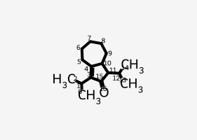 CC(C)C1=C2CCCCCC2C(C(C)C)C1=O